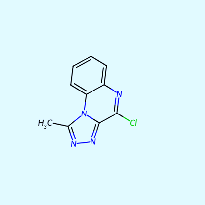 Cc1nnc2c(Cl)nc3ccccc3n12